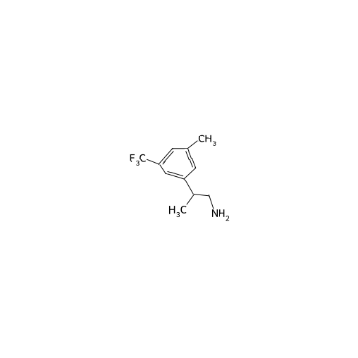 Cc1cc(C(C)CN)cc(C(F)(F)F)c1